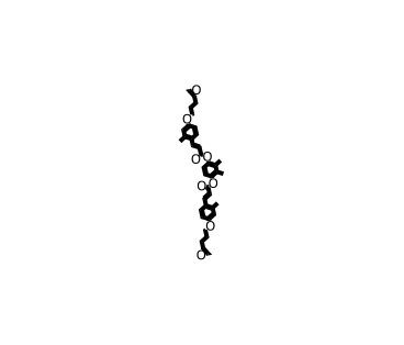 Cc1cc(OCCCC2CO2)ccc1/C=C/C(=O)Oc1ccc(OC(=O)/C=C/c2ccc(OCCCC3CO3)cc2C)c(C)c1C